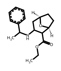 CCOC(=O)C1C(NC(C)c2ccccc2)C[C@H]2CC[C@@H]1O2